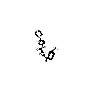 CCOc1cccc(Nc2nnc(C(=O)Nc3ccc(N4CCOCC4)nc3)o2)c1